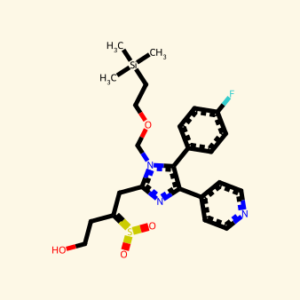 C[Si](C)(C)CCOCn1c(CC(CCO)=S(=O)=O)nc(-c2ccncc2)c1-c1ccc(F)cc1